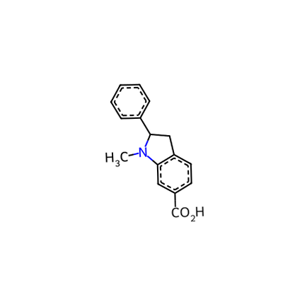 CN1c2cc(C(=O)O)ccc2CC1c1ccccc1